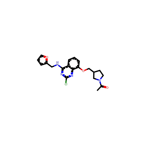 CC(=O)N1CCC(COc2cccc3c(NCc4ccco4)nc(Cl)nc23)C1